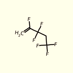 C=C(F)C(F)(F)CC(F)(F)F